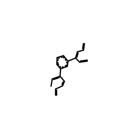 C=C/C=C\C(=C/C)c1cccc(/C(C=C)=C/C=C)c1